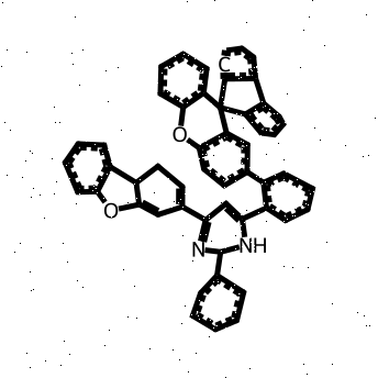 C1=C(C2=NC(c3ccccc3)NC(c3ccccc3-c3ccc4c(c3)C3(c5ccccc5O4)c4ccccc4-c4ccccc43)=C2)C=C2Oc3ccccc3C2C1